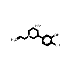 Br.C=CCN1CCCC(c2ccc(O)c(O)c2)C1